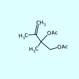 C=C(C)C(C)(COC(C)=O)OC(C)=O